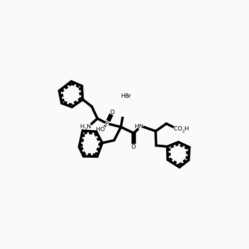 Br.CC(Cc1ccccc1)(C(=O)NC(CC(=O)O)Cc1ccccc1)P(=O)(O)C(N)Cc1ccccc1